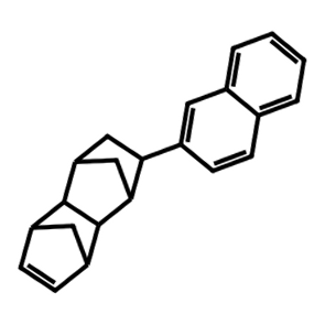 C1=CC2CC1C1C3CC(c4ccc5ccccc5c4)C(C3)C21